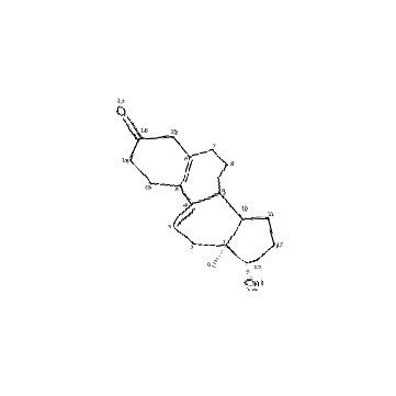 C[C@]12CC=C3C4=C(CCC3C1CC[C@@H]2O)CC(=O)CC4